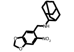 O=[N+]([O-])c1cc2c(cc1CNC1C3CC4CC(C3)CC1C4)OCO2